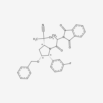 CC(C(=O)N1[C@H](c2cccc(F)c2)[C@H](OCc2ccccc2)C[C@@H]1C(C)(C)C#N)N1C(=O)c2ccccc2C1=O